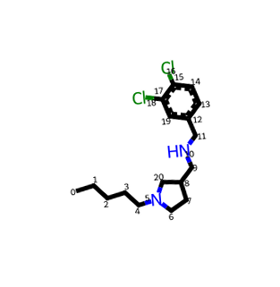 CCCCCN1CCC(CNCc2ccc(Cl)c(Cl)c2)C1